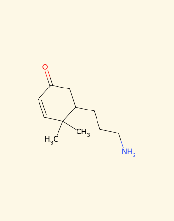 CC1(C)C=CC(=O)CC1CCCN